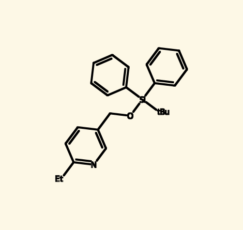 CCc1ccc(CO[Si](c2ccccc2)(c2ccccc2)C(C)(C)C)cn1